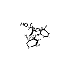 C1CCC(OC2CCCCC2)CC1.C=C(C)C(=O)O